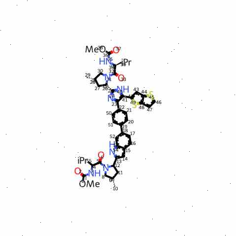 COC(=O)NC(C(=O)N1C[C@@H](C)CC1c1cc2ccc(-c3ccc(-c4nc([C@@H]5C[C@H](C)CN5C(=O)[C@@H](NC(=O)OC)C(C)C)[nH]c4-c4cc5sccc5s4)cc3)cc2[nH]1)C(C)C